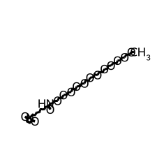 COCCOCCOCCOCCOCCOCCOCCOCCOCCOCCOCCOCCNC(=O)CCCCCCCN1C(=O)C=CC1=O